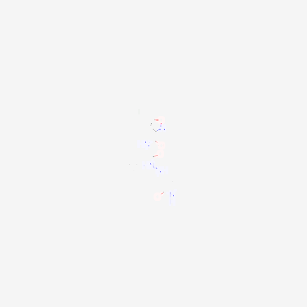 CC1(CC(NC(=O)c2cc(C(F)F)on2)C(=O)NNCC2CCNC2=O)CC1